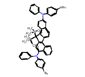 CC(C)(C)c1ccc(N(c2ccccc2)c2ccc3c4c(ccc3c2)-c2c(cc(N(c3ccccc3)c3ccc(C(C)(C)C)cc3)c3ccccc23)C4([Si](C)(C)C)[Si](C)(C)C)cc1